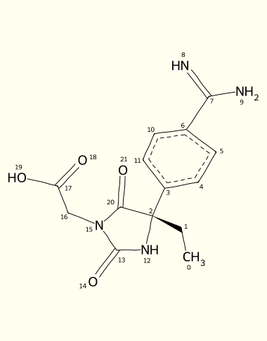 CC[C@@]1(c2ccc(C(=N)N)cc2)NC(=O)N(CC(=O)O)C1=O